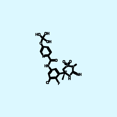 CN1C(=N)N[C@](C)(c2cc(NC(=O)c3ccc(OC(O)(O)O)cn3)cc(Cl)c2F)CS1(=O)=O